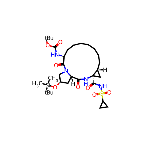 CC(C)(C)OC(=O)N[C@H]1CCCCCCC[C@@H]2C[C@@]2(C(=O)NS(=O)(=O)C2CC2)NC(=O)[C@@H]2C[C@@H](O[Si](C)(C)C(C)(C)C)CN2C1=O